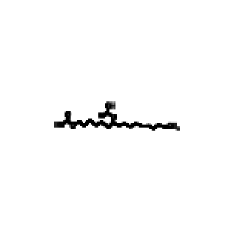 CCCCCCCCCCC(CCCCCCOC(=O)O)OC(=O)O